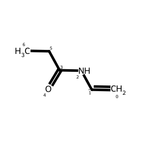 C=[C]NC(=O)CC